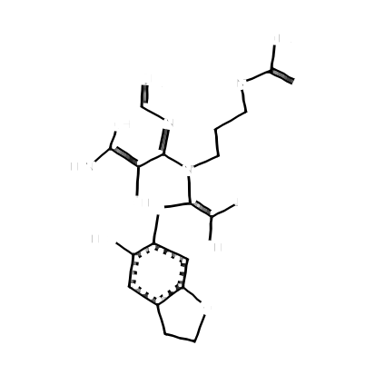 C=C/N=C(\C(C)=C(/C)N)N(CCCNC(=O)C(C)(C)C)/C(Sc1cc2c(cc1C)CCO2)=C(/C)CC